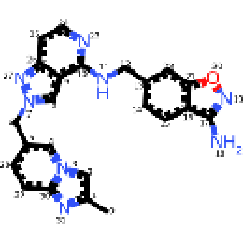 Cc1cn2cc(Cn3cc4c(NCc5ccc6c(N)noc6c5)nccc4n3)ccc2n1